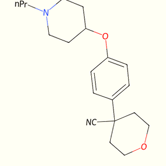 CCCN1CCC(Oc2ccc(C3(C#N)CCOCC3)cc2)CC1